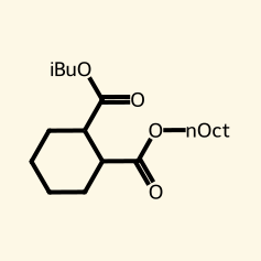 CCCCCCCCOC(=O)C1CCCCC1C(=O)OCC(C)C